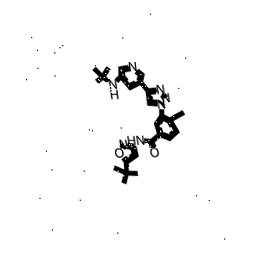 Cc1ccc(C(=O)Nc2cc(C(C)(C)C)on2)cc1-n1cc(-c2cncc(NC(C)(C)C)c2)nn1